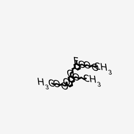 CCCCOc1cc(/C=C\C(=O)OCCOCC)ccc1OCCc1ccc(OCOCCOC)c(F)c1